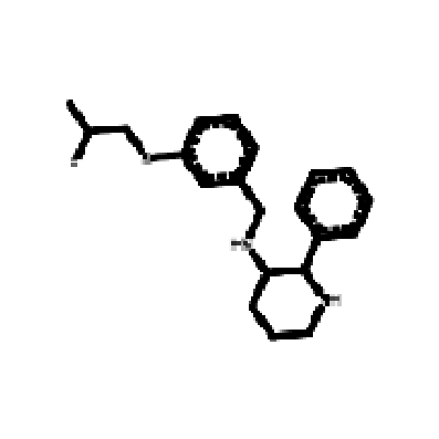 CC(F)CSc1cccc(CNC2CCCNC2c2ccccc2)c1